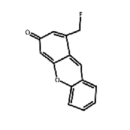 O=c1cc2oc3ccccc3cc-2c(CF)c1